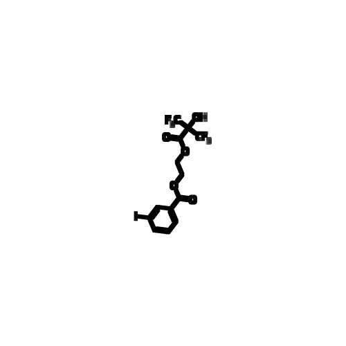 O=C(OCCOC(=O)C(O)(C(F)(F)F)C(F)(F)F)c1cccc(I)c1